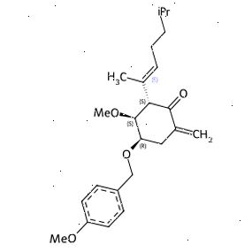 C=C1C[C@@H](OCc2ccc(OC)cc2)[C@@H](OC)[C@H](/C(C)=C/CCC(C)C)C1=O